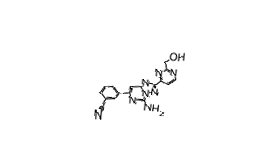 N#Cc1cccc(-c2cc3nc(-c4ccnc(CO)n4)nn3c(N)n2)c1